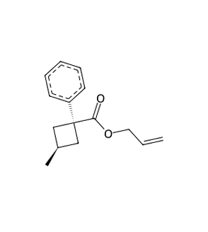 C=CCOC(=O)[C@]1(c2ccccc2)C[C@H](C)C1